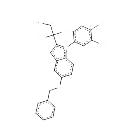 Cc1cc(-n2c(C(C)(C)CO)cc3cc(OCc4ccccc4)ccc32)ccc1F